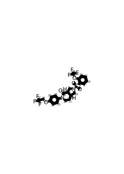 O=C1[C@H]2CN(S(=O)(=O)c3ccccc3OC(F)(F)F)C[C@H]2CCN1c1ccc(OCC(F)(F)F)cc1